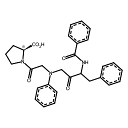 O=C(NC(Cc1ccccc1)C(=O)CN(CC(=O)N1CCC[C@H]1C(=O)O)c1ccccc1)c1ccccc1